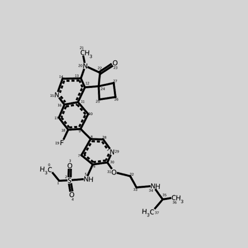 CCS(=O)(=O)Nc1cc(-c2cc3c4c(cnc3cc2F)N(C)C(=O)C42CCC2)cnc1OCCNC(C)C